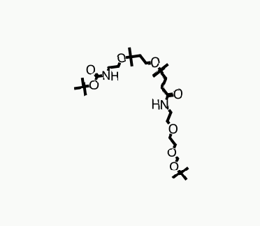 CC(C)(C)OCOCCOCCNC(=O)CCC(C)(C)OCCC(C)(C)OCCNC(=O)OC(C)(C)C